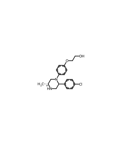 C[C@@H]1CN(c2ccc(OCCO)cc2)C(c2ccc(Cl)cc2)CN1